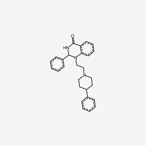 O=C1NC(c2ccccc2)N(CCN2CCC(c3ccccc3)CC2)c2ccccc21